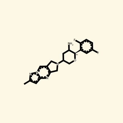 Cc1cc2nc3c(cn2n1)CN(C1CO[C@H](c2cc(F)ccc2F)C(N)C1)C3